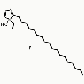 CCCCCCCCCCCCCCCCCCC1=NC=C[N+]1(O)CC.[F-]